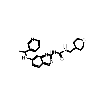 CC(Nc1ccc2cnc(NC(=O)NCC3CCOCC3)nc2c1)c1cccnc1